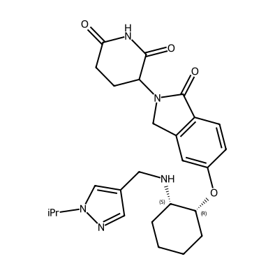 CC(C)n1cc(CN[C@H]2CCCC[C@H]2Oc2ccc3c(c2)CN(C2CCC(=O)NC2=O)C3=O)cn1